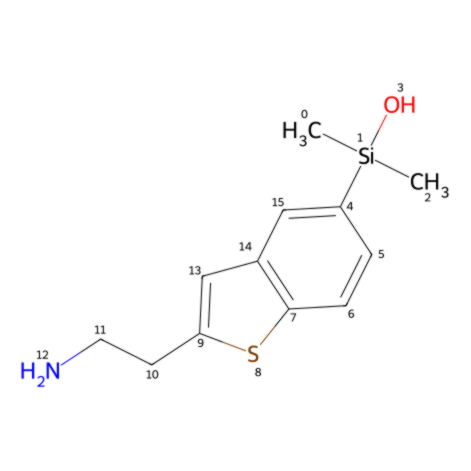 C[Si](C)(O)c1ccc2sc(CCN)cc2c1